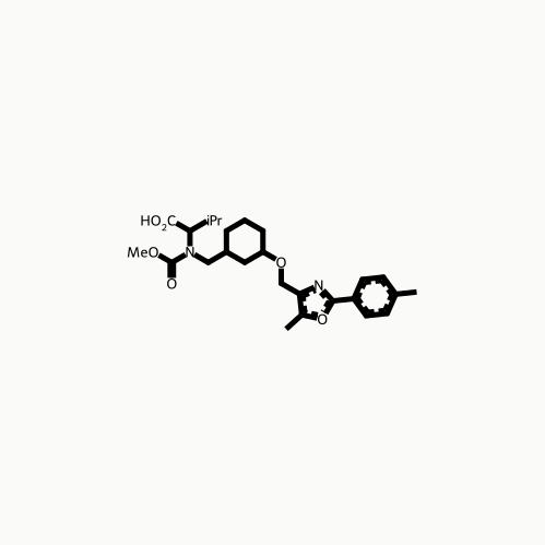 COC(=O)N(CC1CCCC(OCc2nc(-c3ccc(C)cc3)oc2C)C1)C(C(=O)O)C(C)C